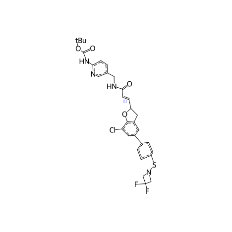 CC(C)(C)OC(=O)Nc1ccc(CNC(=O)/C=C/C2Cc3cc(-c4ccc(SN5CC(F)(F)C5)cc4)cc(Cl)c3O2)cn1